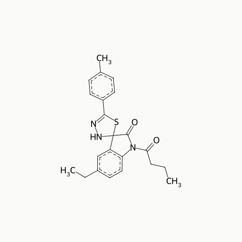 CCCC(=O)N1C(=O)C2(NN=C(c3ccc(C)cc3)S2)c2cc(CC)ccc21